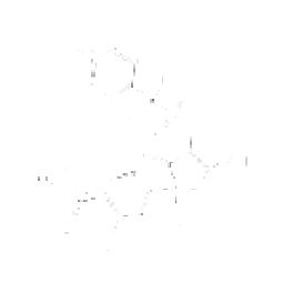 [2H]C([2H])(c1ccc(F)cc1)S(=O)(=O)OC1=C(N)O[C@]([2H])(c2ccc(C(=O)OC)c(F)c2)C1=O